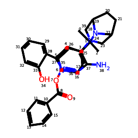 CC(C)(C1CCN(OC(=O)c2ccccc2)CC1)N1C2CCC1CN(c1cc(-c3ccccc3O)nnc1N)C2